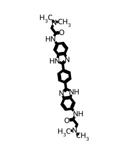 CN(C)CC(=O)Nc1ccc2nc(-c3ccc(-c4nc5ccc(NC(=O)CN(C)C)cc5[nH]4)cc3)[nH]c2c1